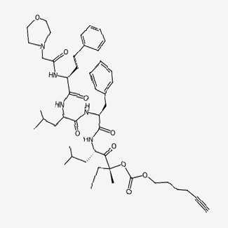 C#CCCCCOC(=O)O[C@](C)(CI)C(=O)[C@H](CC(C)C)NC(=O)[C@H](Cc1ccccc1)NC(=O)C(CC(C)C)NC(=O)[C@H](CCc1ccccc1)NC(=O)CN1CCOCC1